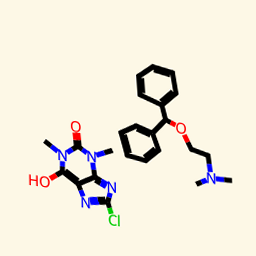 CN(C)CCOC(c1ccccc1)c1ccccc1.Cn1c2nc(Cl)nc-2c(O)n(C)c1=O